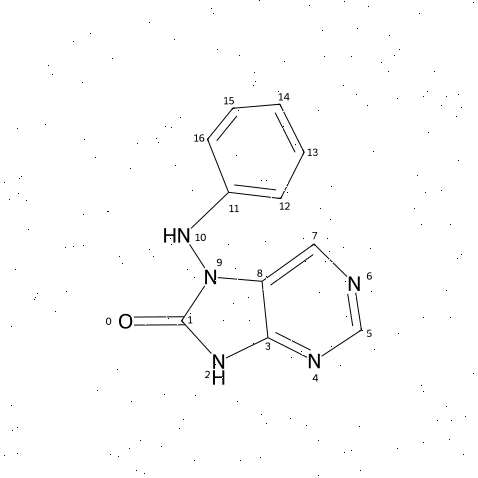 O=c1[nH]c2ncncc2n1Nc1ccccc1